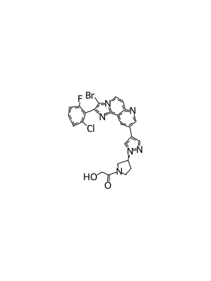 O=C(CO)N1CC[C@H](n2cc(-c3cnc4ccn5c(Br)c(-c6c(F)cccc6Cl)nc5c4c3)cn2)C1